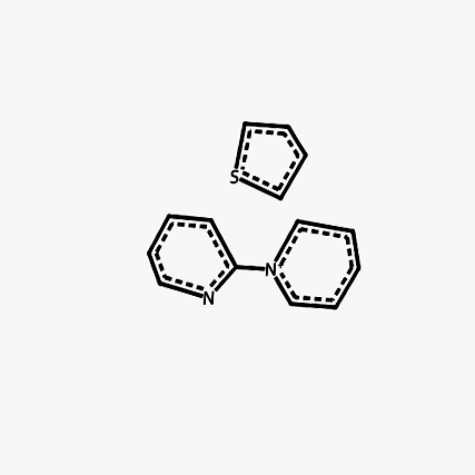 c1cc[n+](-c2ccccn2)cc1.c1ccsc1